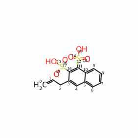 C=CCc1cc2ccccc2c(S(=O)(=O)O)c1S(=O)(=O)O